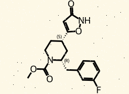 COC(=O)N1CC[C@H](c2cc(=O)[nH]o2)C[C@@H]1Cc1cccc(F)c1